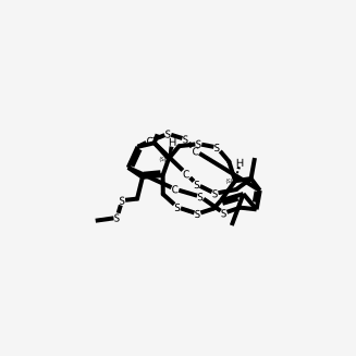 CSSCC1=C2CSSCC3=C(C)C4=C5CSSCC(=C1CSSC4)C1(C)CSSCC5(C)[C@@H]3CSSC[C@H]21